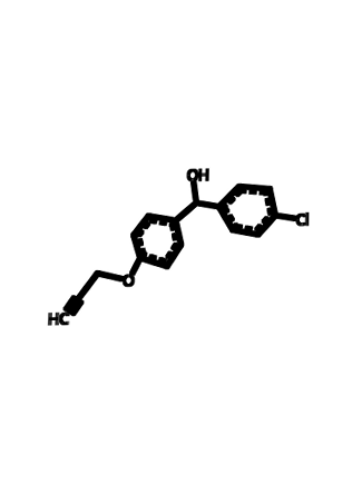 C#CCOc1ccc(C(O)c2ccc(Cl)cc2)cc1